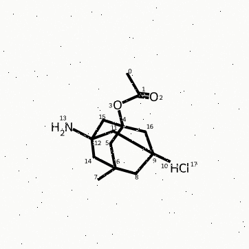 CC(=O)OC12CC3(C)CC(C)(CC(N)(C3)C1)C2.Cl